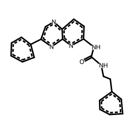 O=C(NCCc1ccccc1)Nc1ccc2ncc(-c3ccccc3)nc2n1